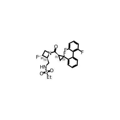 CCS(=O)(=O)NC[C@H]1[C@H](F)CN1C(=O)[C@@H]1C[C@@]1(F)c1ccccc1-c1c(F)cccc1F